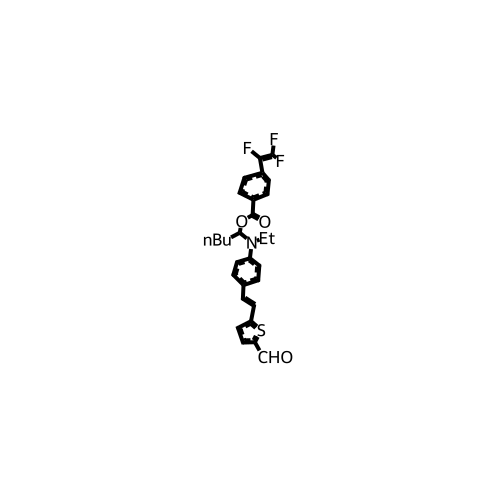 CCCCC(OC(=O)c1ccc(C(F)=C(F)F)cc1)N(CC)c1ccc(/C=C/c2ccc(C=O)s2)cc1